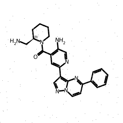 NC[C@H]1CCCCN1C(=O)c1cc(-c2cnn3ccc(-c4ccccc4)nc23)ncc1N